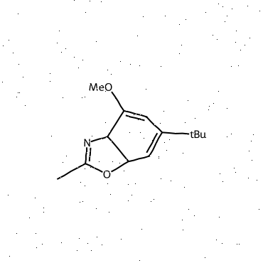 COC1=CC(C(C)(C)C)=CC2OC(C)=NC12